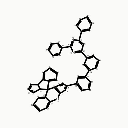 C1=CC2c3ccccc3C3(c4ccccc4Oc4cc(-c5cccc(-c6cccc(-c7cc(-c8ccccc8)nc(-c8ccccc8)n7)c6)c5)ccc43)C2C=C1